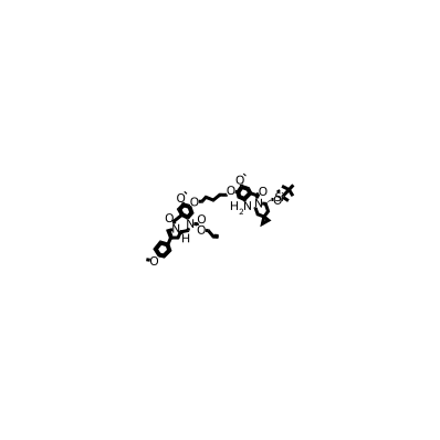 C=CCOC(=O)N1C[C@@H]2CC(c3ccc(OC)cc3)=CN2C(=O)c2cc(OC)c(OCCCCCOc3cc(N)c(C(=O)N4CCC5(CC5)C[C@H]4CO[Si](C)(C)C(C)(C)C)cc3OC)cc21